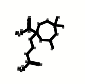 CC1CC(C)(C)CCC(CCCC(N)=O)(C(N)=O)C1